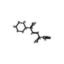 COC(=O)C=CC(=O)C1CCCCC1